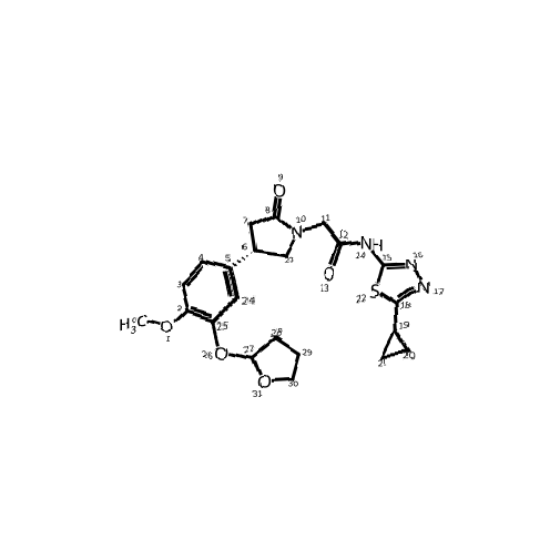 COc1ccc([C@@H]2CC(=O)N(CC(=O)Nc3nnc(C4CC4)s3)C2)cc1OC1CCCO1